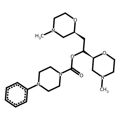 CN1CCO[C@@H](CC(OC(=O)N2CCN(c3ccccc3)CC2)[C@@H]2CN(C)CCO2)C1